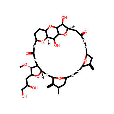 C=C1CC2CCC(=O)C[C@H]3OC4C(OC5CCC(CC(=O)CC6[C@@H](OC)C(CC(O)CO)O[C@H]6CC6OC(CCC1O2)C[C@@H](C)C6=C)O[C@@H]5C4O)C3O